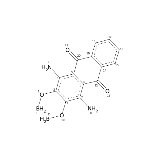 BOc1c(N)c2c(c(N)c1OB)C(=O)c1ccccc1C2=O